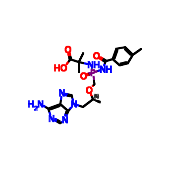 Cc1ccc(C(=O)NP(=O)(CO[C@@H](C)Cn2cnc3c(N)ncnc32)NC(C)(C)C(=O)O)cc1